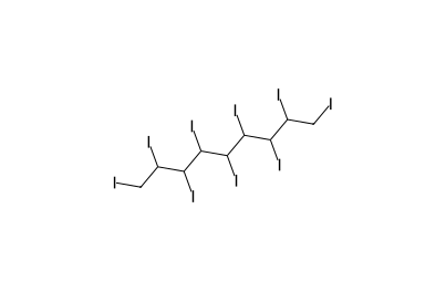 ICC(I)C(I)C(I)C(I)C(I)C(I)C(I)CI